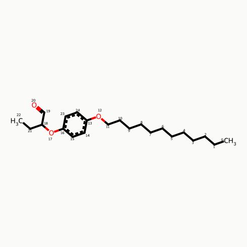 CCCCCCCCCCCCOc1ccc(OC(C=O)CC)cc1